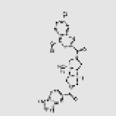 CCOc1cc(C(=O)N2CC3[C@H]4CN(C(=O)c5ccc6[nH]nnc6c5)C[C@H]4C3(O)C2)nc2cc(Cl)ccc12